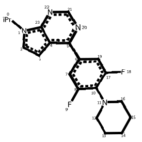 CC(C)n1ccc2c(-c3cc(F)c(N4CC[CH]CC4)c(F)c3)ncnc21